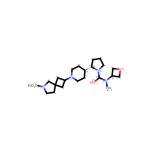 CCOC(=O)N1CCC2(CC(N3CCC([C@@H]4CCCN4C(O)N(C)C4COC4)CC3)C2)C1